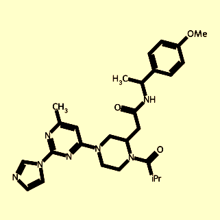 COc1ccc(C(C)NC(=O)CC2CN(c3cc(C)nc(-n4ccnc4)n3)CCN2C(=O)C(C)C)cc1